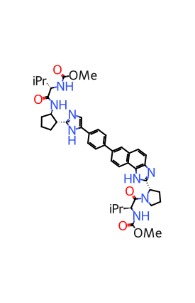 COC(=O)N[C@H](C(=O)N[C@@H]1CCC[C@H]1c1ncc(-c2ccc(-c3ccc4c(ccc5nc([C@@H]6CCCN6C(=O)[C@@H](NC(=O)OC)C(C)C)[nH]c54)c3)cc2)[nH]1)C(C)C